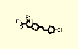 CCC(=O)C(Cc1ccc(/C=C/c2ccc(Cl)cc2)cc1)C(=O)CC